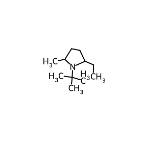 CCC1CCC(C)N1C(C)(C)C